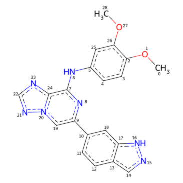 COc1ccc(Nc2nc(-c3ccc4cn[nH]c4c3)cn3ncnc23)cc1OC